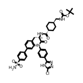 CC(C)(C)OC(=O)NC[C@H]1CC[C@H](C(=O)N[C@@H](Cc2ccc(-c3ccc(S(N)(=O)=O)cc3)cc2)C(=O)Nc2ccc(-c3nnc(Cl)[nH]3)cc2)CC1